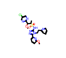 COc1cccc(-c2nnc(NS(=O)(=O)C(C)C(OC)c3ncc(Cl)cn3)n2CCc2ccccn2)n1